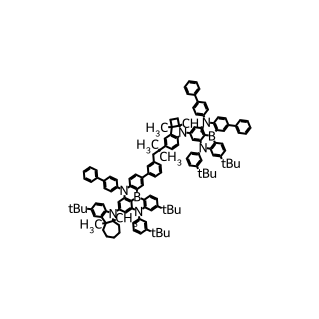 CC(C)(C)c1cccc(N2c3cc(C(C)(C)C)ccc3B3c4cc(-c5cccc(CC(C)(C)c6ccc7c(c6)C6(C)CCC6(C)N7c6cc7c8c(c6)N(c6cccc(C(C)(C)C)c6)c6cc(C(C)(C)C)ccc6B8c6cc(-c8ccccc8)ccc6N7c6ccc(-c7ccccc7)cc6)c5)ccc4N(c4ccc(-c5ccccc5)cc4)c4cc(N5c6ccc(C(C)(C)C)cc6C6(C)CCCCCC56C)cc2c43)c1